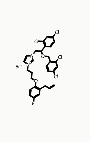 C=CCc1cc(F)ccc1OCCC[n+]1ccn(CC(OCc2ccc(Cl)cc2Cl)c2ccc(Cl)cc2Cl)c1.[Br-]